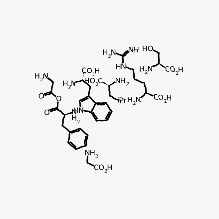 CC(C)C[C@H](N)C(=O)O.N=C(N)NCCC[C@H](N)C(=O)O.NCC(=O)O.NCC(=O)OC(=O)[C@@H](N)Cc1ccccc1.N[C@@H](CO)C(=O)O.N[C@@H](Cc1c[nH]c2ccccc12)C(=O)O